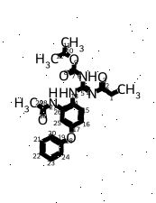 CCC(=O)N=C(NC(=O)OC(C)C)Nc1ccc(Oc2ccccc2)cc1NC(C)=O